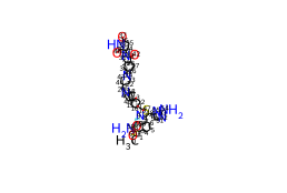 CCC(c1cccc(-c2nc(C3CCC4(CC3)CCN(CC3CCN(c5ccc6c(c5)CN(C5CCC(=O)NC5=O)C6=O)CC3)CC4)sc2-c2ccnc(N)n2)c1F)S(N)(=O)=O